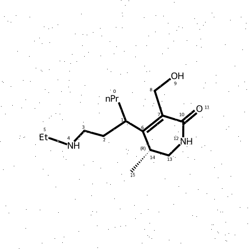 CCCC(CCNCC)C1=C(CO)C(=O)NC[C@@H]1C